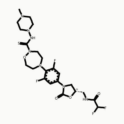 CN1CCN(NC(=S)N2CCN(c3c(F)cc(N4C[C@H](CNC(=O)C(F)F)OC4=O)cc3F)CCO2)CC1